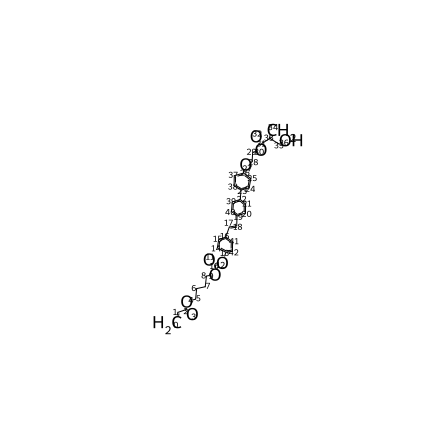 C=CC(=O)OCCCCOC(=O)Oc1ccc(/C=C/c2ccc(-c3ccc(OCCOC(=O)C(=C)CO)cc3)cc2)cc1